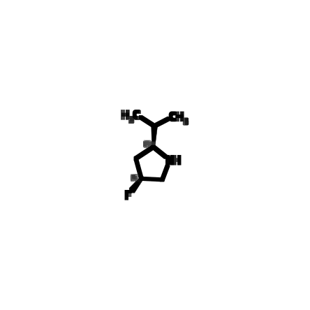 CC(C)[C@@H]1C[C@H](F)CN1